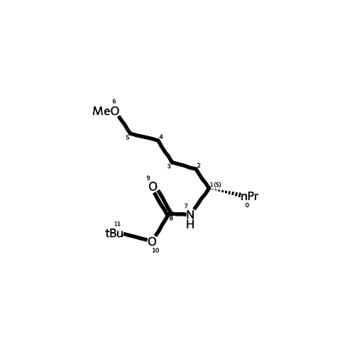 CCC[C@@H](CCCCOC)NC(=O)OC(C)(C)C